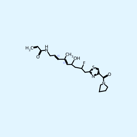 C=CC(=O)NC/C=C/C(C)=C/C(O)CC(F)Cc1nc(C(=O)N2CCCC2)cs1